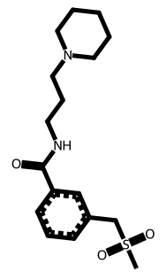 CS(=O)(=O)Cc1cccc(C(=O)NCCCN2CCCCC2)c1